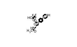 CC(=O)NC[C@H]1CN(c2ccc(N3CCNCC3)cc2)C(=O)O1.O=C(O)C(F)(F)F